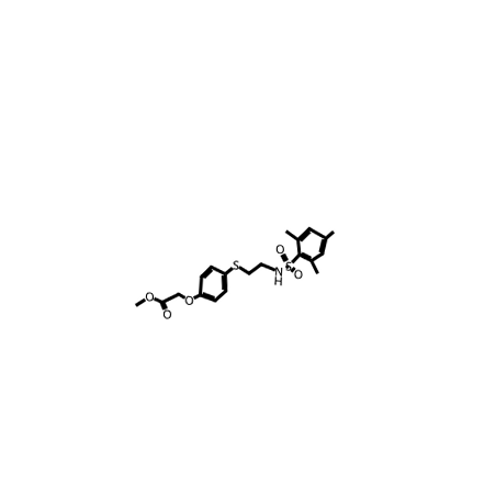 COC(=O)COc1ccc(SCCNS(=O)(=O)c2c(C)cc(C)cc2C)cc1